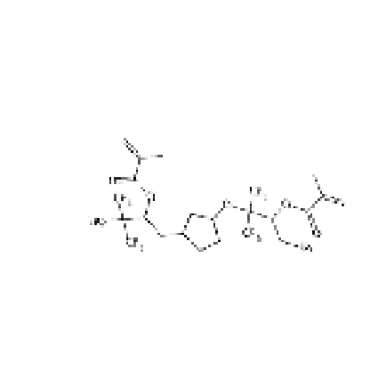 C=C(C)C(=O)OC(CC1CCC(OC(C(CC(C)C)OC(=O)C(=C)C)(C(F)(F)F)C(F)(F)F)C1)C(O)(C(F)(F)F)C(F)(F)F